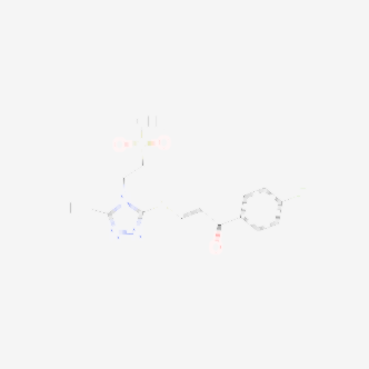 Cc1nnc(S/C=C/C(=O)c2ccc(F)cc2)n1CCS(C)(=O)=O